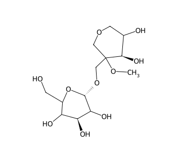 COC1(CO[C@H]2OC(CO)C(O)[C@H](O)C2O)COCC(O)[C@H]1O